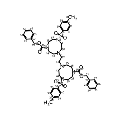 Cc1ccc(S(=O)(=O)N2CCN(CCN3CCN(C(=O)OCc4ccccc4)CCN(S(=O)(=O)c4ccc(C)cc4)CC3)CCN(C(=O)OCc3ccccc3)CC2)cc1